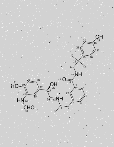 CC(Cc1cccc(C(=O)NCC(C)(C)c2ccc(O)cc2)c1)NC[C@H](O)c1ccc(O)c(NC=O)c1